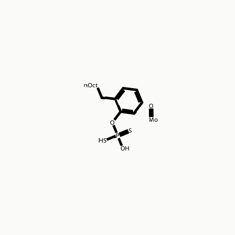 CCCCCCCCCc1ccccc1OP(O)(=S)S.[O]=[Mo]